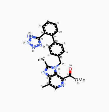 CCCc1nc2c(C)cnc(C(=O)OC)c2n1Cc1ccc(-c2ccccc2-c2nnn[nH]2)cc1